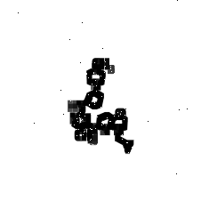 Cc1cnc(Nc2cccc(N3CCN(C)CC3)c2)nc1Nc1ccc2c(n1)N(CC1CC1)CCO2